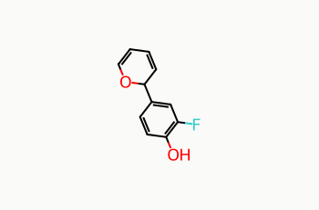 Oc1ccc(C2C=CC=CO2)cc1F